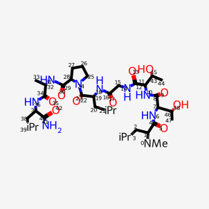 CNC(CC(C)C)C(=O)NC(C(=O)NC(C(=O)NCC(=O)NC(CC(C)C)C(=O)N1CCCC1C(=O)NC(C)C(=O)NC(CC(C)C)C(N)=O)C(C)O)C(C)O